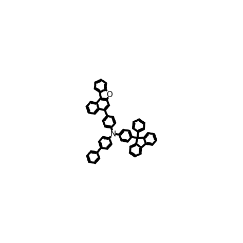 c1ccc(-c2ccc(N(c3ccc(-c4cc5oc6ccccc6c5c5ccccc45)cc3)c3ccc(C4(c5ccccc5)c5ccccc5-c5ccccc54)cc3)cc2)cc1